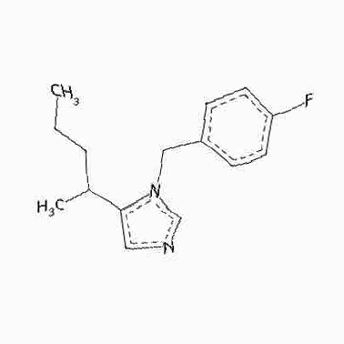 CCCC(C)c1cncn1Cc1ccc(F)cc1